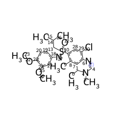 CCN(C)/C=N\c1cc(C)c(S(=O)(CC(C)C)=Nc2ccc(OC)c(OC)c2)cc1Cl